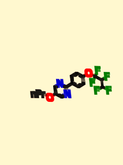 CCCOc1cnc(-c2ccc(OC(F)(F)C(F)C(F)F)cc2)nc1